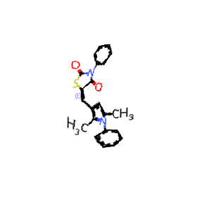 Cc1cc(/C=C2/SC(=O)N(c3ccccc3)C2=O)c(C)n1-c1ccccc1